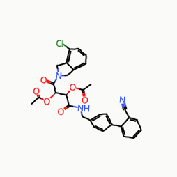 CC(=O)O[C@@H](C(=O)NCc1ccc(-c2ccccc2C#N)cc1)[C@@H](OC(C)=O)C(=O)N1Cc2cccc(Cl)c2C1